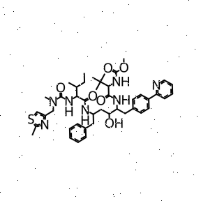 CCC(C)C(NC(=O)N(C)Cc1csc(C)n1)C(=O)NC(Cc1ccccc1)CC(O)C(Cc1ccc(-c2ccccn2)cc1)NC(=O)C(NC(=O)OC)C(C)(C)C